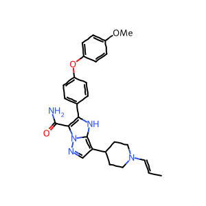 CC=CN1CCC(c2cnn3c(C(N)=O)c(-c4ccc(Oc5ccc(OC)cc5)cc4)[nH]c23)CC1